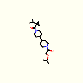 CC(C)OCC(=O)N1CCC(C2CCN(C(=O)C3(C(C)C)CC3)CC2)CC1